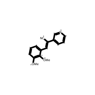 COc1cccc(/C=C(\C#N)c2cccnc2)c1OC